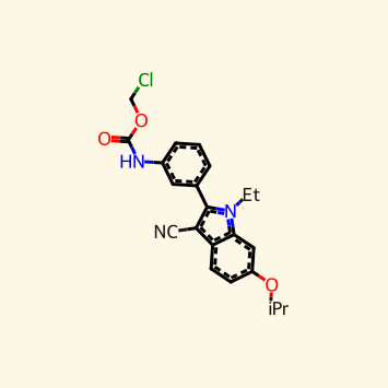 CCn1c(-c2cccc(NC(=O)OCCl)c2)c(C#N)c2ccc(OC(C)C)cc21